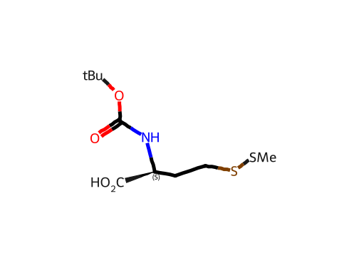 CSSCC[C@H](NC(=O)OC(C)(C)C)C(=O)O